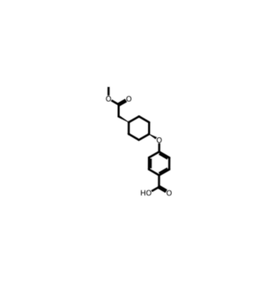 COC(=O)C[C@H]1CC[C@@H](Oc2ccc(C(=O)O)cc2)CC1